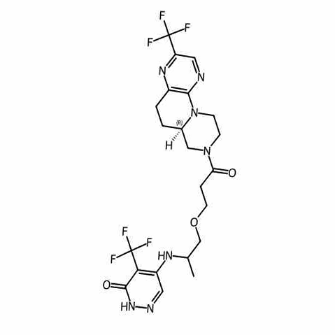 CC(COCCC(=O)N1CCN2c3ncc(C(F)(F)F)nc3CC[C@@H]2C1)Nc1cn[nH]c(=O)c1C(F)(F)F